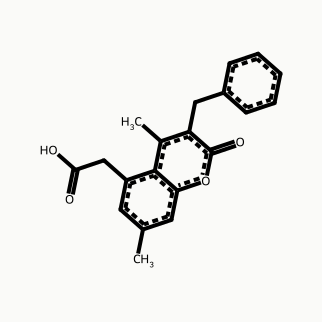 Cc1cc(CC(=O)O)c2c(C)c(Cc3ccccc3)c(=O)oc2c1